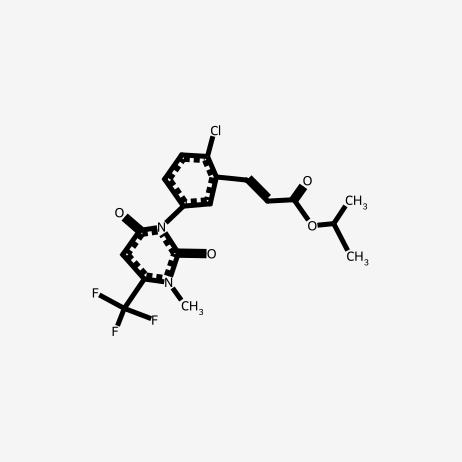 CC(C)OC(=O)C=Cc1cc(-n2c(=O)cc(C(F)(F)F)n(C)c2=O)ccc1Cl